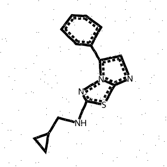 c1ccc(-c2cnc3sc(NCC4CC4)nn23)cc1